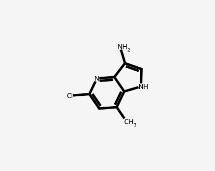 Cc1cc(Cl)nc2c(N)c[nH]c12